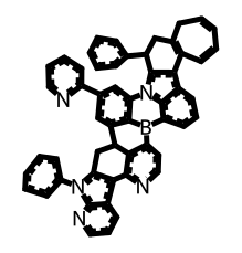 C1=CCC2=C(C=C1)c1c(n3c4c(cccc14)B1c4ccnc5c4C(Cc4c-5c5cccnc5n4-c4ccccc4)c4cc(-c5ccccn5)cc-3c41)C(c1ccccc1)C2